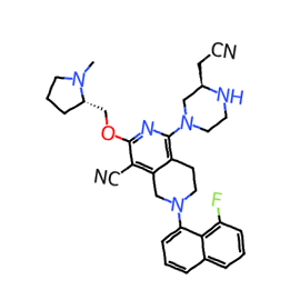 CN1CCC[C@H]1COc1nc(N2CCN[C@H](CC#N)C2)c2c(c1C#N)CN(c1cccc3cccc(F)c13)CC2